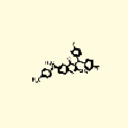 Cc1ccc(N(C)c2ccc3nc(C)n(C(c4ccc(F)cc4)c4ccc(F)cc4)c(=O)c3c2)cc1